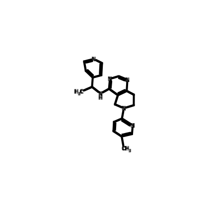 Cc1ccc(N2CCc3ncnc(NC(C)c4ccncc4)c3C2)nc1